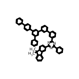 CC1(C)c2ccccc2-c2cc(-c3nc(-c4ccccc4)nc(-c4cccc(-c5cccc(-c6cc(-c7ccccc7)cc(-c7ccc(-c8ccccc8)cc7)c6)c5)c4)n3)ccc21